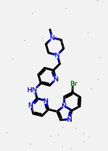 CN1CCN(Cc2ccc(Nc3nccc(-c4cnc5ccc(Br)cn45)n3)cn2)CC1